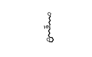 [O]CCCCCNCCCCC1CCCCO1